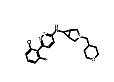 Fc1cccc(Cl)c1-c1ccc(NC2C3CN(CC4CCOCC4)CC32)nn1